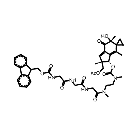 CC(=O)OC[C@]1(C)C=C2C(=O)[C@](C)(O)C3(CC3)C(C)=C2[C@@H]1OC(=O)N(C)CCN(C)C(=O)CNC(=O)CNC(=O)CNC(=O)OCC1c2ccccc2-c2ccccc21